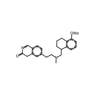 COc1cccc2c1CCCC2CN(C)CCc1ccc2c(c1)CC(=O)N=C2